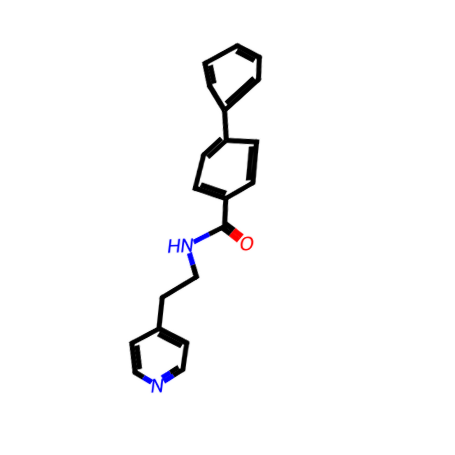 O=C(NCCc1ccncc1)c1ccc(-c2ccccc2)cc1